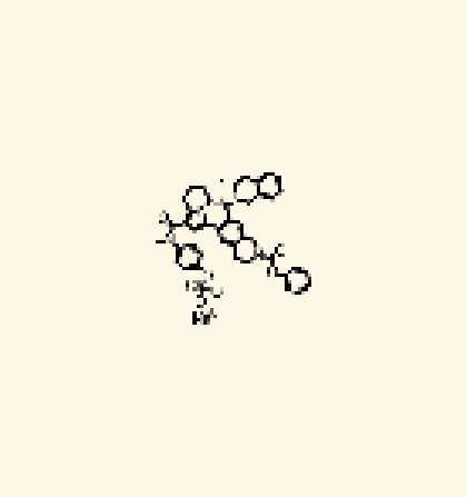 C[C@@H]1Cc2ccccc2CN1C(=O)c1cc2c(cc1-c1cc(C(=O)N(C)c3ccc(OP(=O)([O-])[O-])cc3)c3n1CCCC3)CCN(C(=O)Oc1ccccc1)C2.[Na+].[Na+]